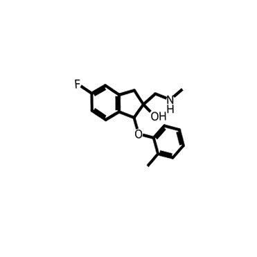 CNCC1(O)Cc2cc(F)ccc2C1Oc1ccccc1C